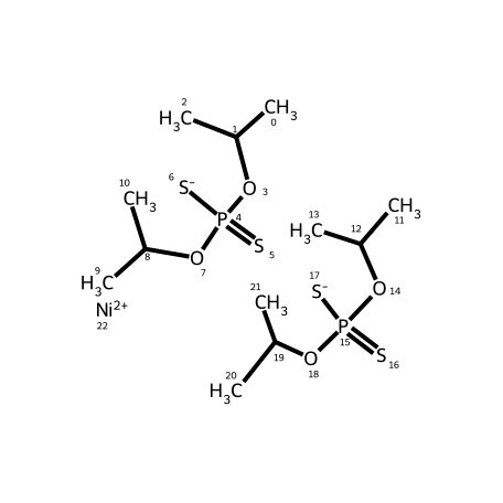 CC(C)OP(=S)([S-])OC(C)C.CC(C)OP(=S)([S-])OC(C)C.[Ni+2]